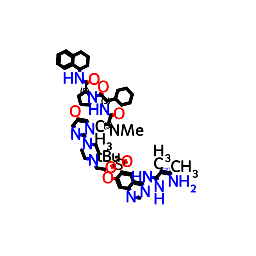 CN[C@@H](C)C(=O)N[C@H](C(=O)N1CC(Oc2cnc(N3CCN(CCOc4cc5ncnc(NC(=N)/C(C)=C(/C)N)c5cc4S(=O)(=O)C(C)(C)C)CC3)nc2)C[C@H]1C(=O)NC1CCCc2ccccc21)C1CCCCC1